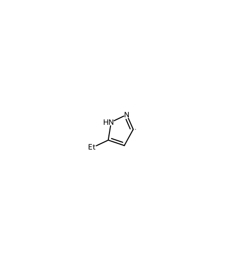 CCc1c[c]n[nH]1